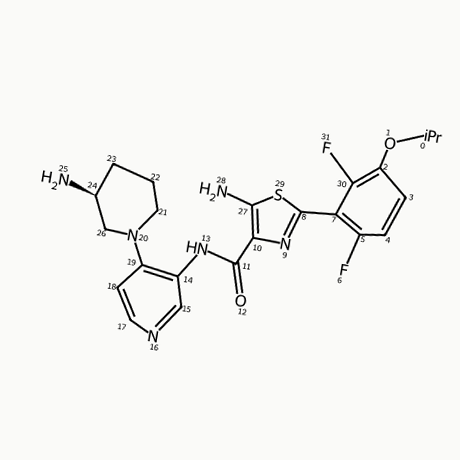 CC(C)Oc1ccc(F)c(-c2nc(C(=O)Nc3cnccc3N3CCC[C@H](N)C3)c(N)s2)c1F